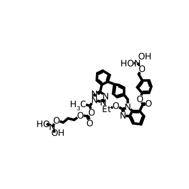 CCOc1nc2cccc(C(=O)Oc3cccc(CON(O)O)c3)c2n1Cc1ccc(-c2ccccc2-c2nnn(C(C)OC(=O)OCCCON(O)O)n2)cc1